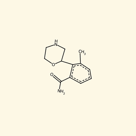 Cc1cccc(C(N)=O)c1C1CNCCO1